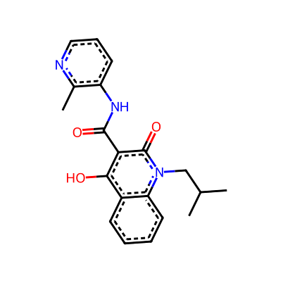 Cc1ncccc1NC(=O)c1c(O)c2ccccc2n(CC(C)C)c1=O